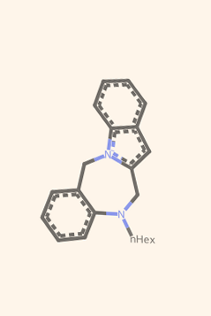 CCCCCCN1Cc2cc3ccccc3n2Cc2ccccc21